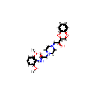 CCOc1cccc(OCC)c1NC(=O)CN1CCN(CC(O)C2COc3ccccc3O2)CC1